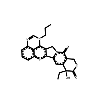 CCCN1C=Nc2cccc3nc4c(c1c23)Cn1c-4cc2c(c1=O)COC(=O)[C@]2(O)CC